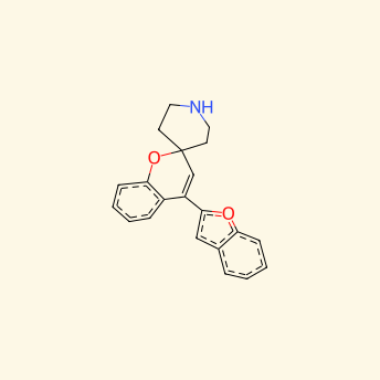 C1=C(c2cc3ccccc3o2)c2ccccc2OC12CCNCC2